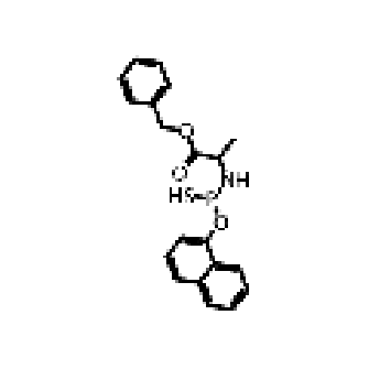 CC(NP(S)Oc1cccc2ccccc12)C(=O)OCc1ccccc1